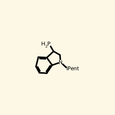 CCCC(C)N1CC(P)c2ccccc21